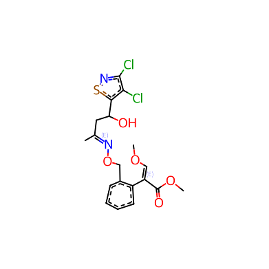 CO/C=C(/C(=O)OC)c1ccccc1CO/N=C(\C)CC(O)c1snc(Cl)c1Cl